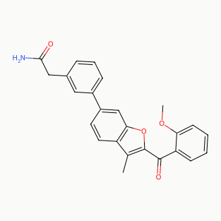 COc1ccccc1C(=O)c1oc2cc(-c3cccc(CC(N)=O)c3)ccc2c1C